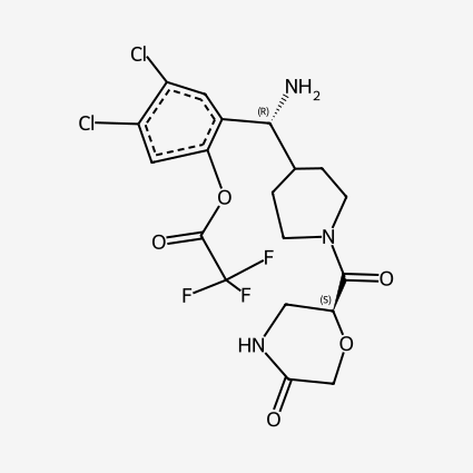 N[C@@H](c1cc(Cl)c(Cl)cc1OC(=O)C(F)(F)F)C1CCN(C(=O)[C@@H]2CNC(=O)CO2)CC1